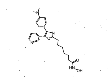 CN(C)c1ccc(-c2nc(CCCCCCC(=O)NO)oc2-c2cccnc2)cc1